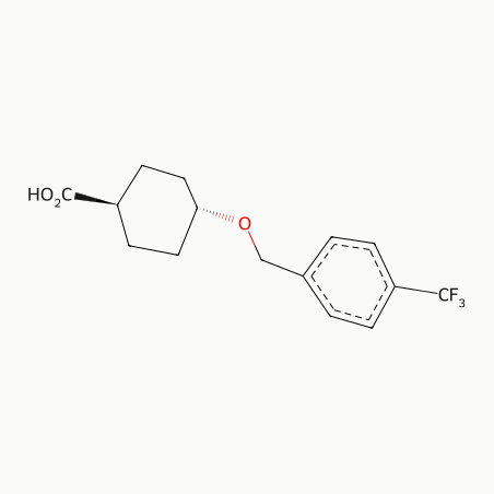 O=C(O)[C@H]1CC[C@H](OCc2ccc(C(F)(F)F)cc2)CC1